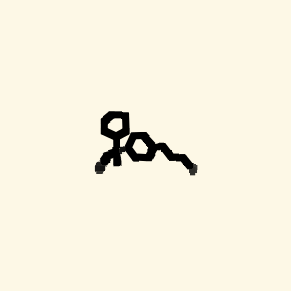 CC(C=O)(C1CCCCC1)[C@H]1CC[C@H](CCCF)CC1